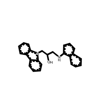 OC(CNc1cccc2ccccc12)Cn1c2ccccc2c2ccccc21